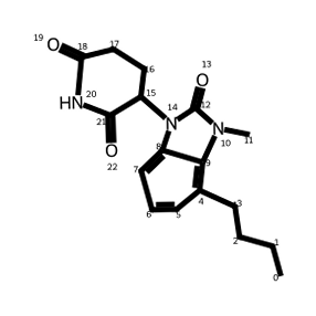 CCC[CH]c1cccc2c1n(C)c(=O)n2C1CCC(=O)NC1=O